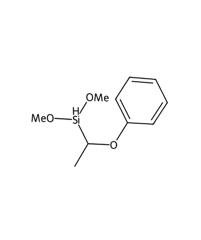 CO[SiH](OC)C(C)Oc1ccccc1